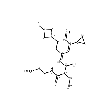 B=C/C(=C\C(CCN1CC(F)C1)=N/N(C)C(CC(C)C)C(=O)NCCC(=O)OCC)C1CC1